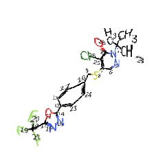 CC(C)(C)n1ncc(SCc2ccc(-c3nnc(C(F)(F)F)o3)cc2)c(Cl)c1=O